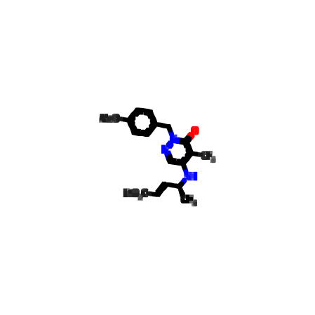 CCOC(=O)/C=C/[C@H](C)Nc1cnn(Cc2ccc(OC)cc2)c(=O)c1C(F)(F)F